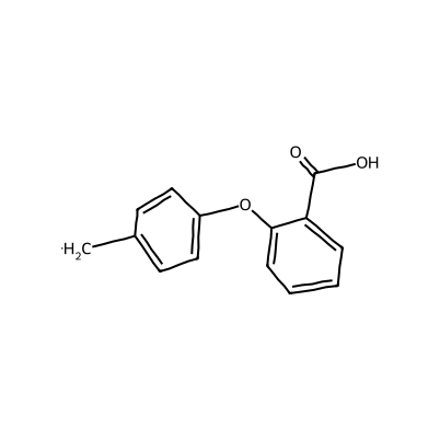 [CH2]c1ccc(Oc2ccccc2C(=O)O)cc1